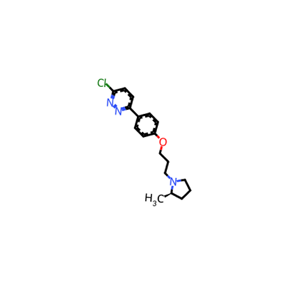 C[C@@H]1CCCN1CCCOc1ccc(-c2ccc(Cl)nn2)cc1